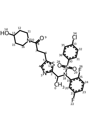 CC(c1ncc(CCC(=O)N2CCC(O)CC2)s1)N(c1cc(F)ccc1F)S(=O)(=O)c1ccc(Cl)cc1